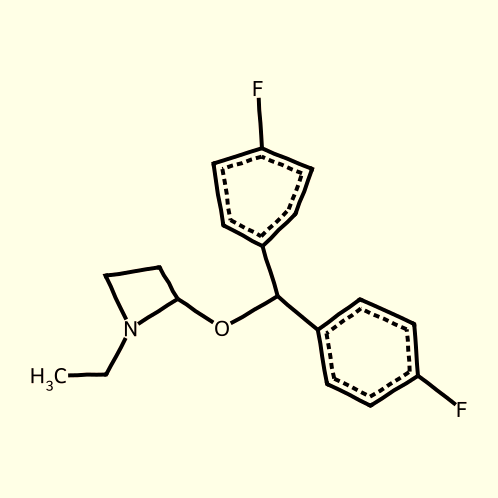 CCN1CCC1OC(c1ccc(F)cc1)c1ccc(F)cc1